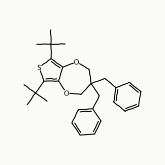 CC(C)(C)c1sc(C(C)(C)C)c2c1OCC(Cc1ccccc1)(Cc1ccccc1)CO2